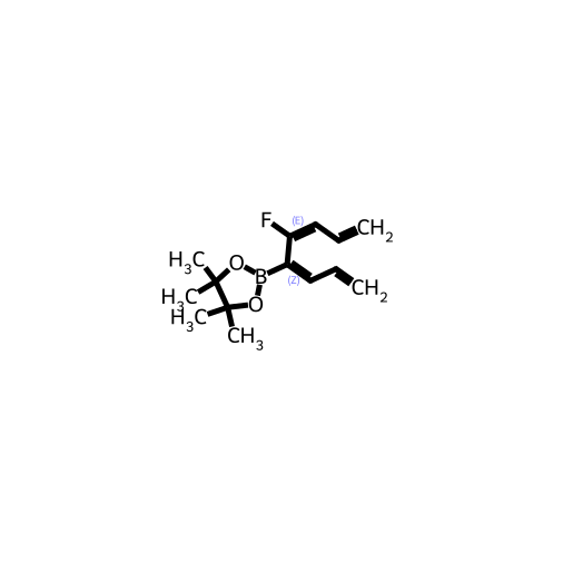 C=C/C=C(B1OC(C)(C)C(C)(C)O1)\C(F)=C/C=C